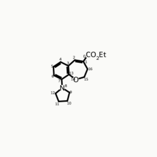 CCOC(=O)C1=Cc2cccc(N3CCCC3)c2OCC1